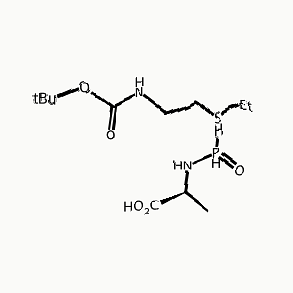 CC[SH](CCNC(=O)OC(C)(C)C)[PH](=O)N[C@@H](C)C(=O)O